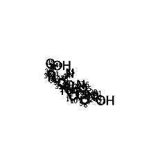 CC1(Cl)C(c2ccccc2)=CC=CC1(Sc1cc(CN2CCC(O)C2)ccn1)c1nc2cc(CN3CCC(C(=O)O)C3)cc(C#N)c2o1